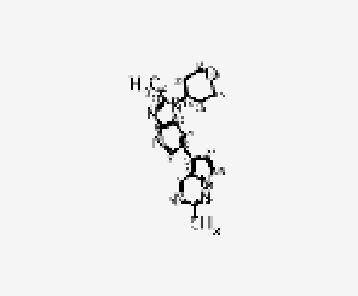 Cc1ncc2c(-c3cnc4nc(C)n(C5CCOCC5)c4c3)ccn2n1